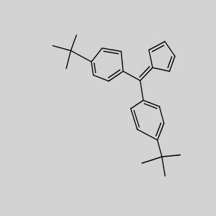 CC(C)(C)c1ccc(C(=C2C=CC=C2)c2ccc(C(C)(C)C)cc2)cc1